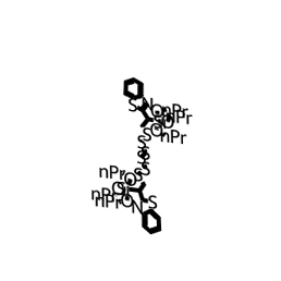 CCCO[Si](OCCC)(OCCC)C(CSSSSSSCC(c1nc2ccccc2s1)[Si](OCCC)(OCCC)OCCC)c1nc2ccccc2s1